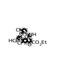 CCOC(=O)c1cn(C2(C)CNC2)c2cc(N3CCC[C@@H]3COc3ncccc3Cl)c(Cl)cc2c1=O.Cl